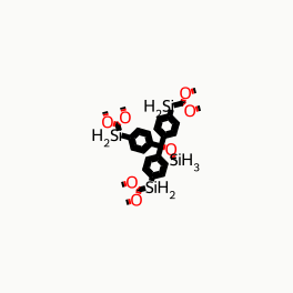 COC(OC)[SiH2]c1ccc(C(O[SiH3])(c2ccc([SiH2]C(OC)OC)cc2)c2ccc([SiH2]C(OC)OC)cc2)cc1